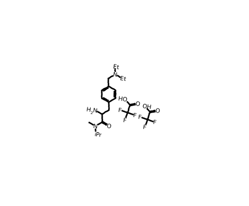 CCN(CC)Cc1ccc(CC(N)C(=O)N(C)C(C)C)cc1.O=C(O)C(F)(F)F.O=C(O)C(F)(F)F